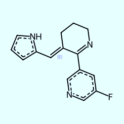 Fc1cncc(C2=NCCC/C2=C\c2ccc[nH]2)c1